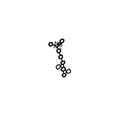 c1ccc(-c2nc(-c3ccc(-c4ccc(-c5ccc6c(c5)C5(CCCCC5)c5cc7c(cc5-6)C5(CCCCC5)c5ccccc5-7)cc4)cc3)c3oc4ccccc4c3n2)cc1